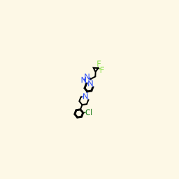 FC1(F)CC1Cc1nnc2cc(N3CCC(c4ccccc4Cl)CC3)ccn12